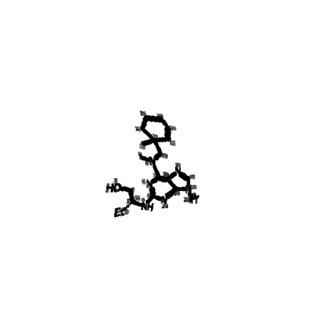 CC[C@H](CO)Nc1nc(N(C)CC2(C)C=CC=CC2)c2ncn(C(C)C)c2n1